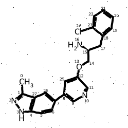 Cc1n[nH]c2ccc(-c3cncc(OC[C@@H](N)Cc4ccccc4Cl)c3)cc12